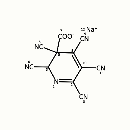 N#CC1=NC(C#N)C(C#N)(C(=O)[O-])C(C#N)=C1C#N.[Na+]